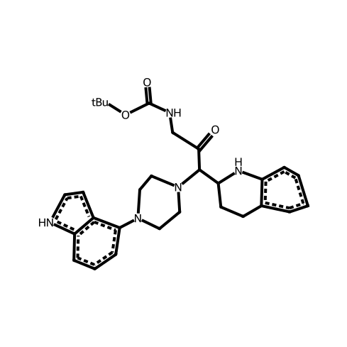 CC(C)(C)OC(=O)NCC(=O)C(C1CCc2ccccc2N1)N1CCN(c2cccc3[nH]ccc23)CC1